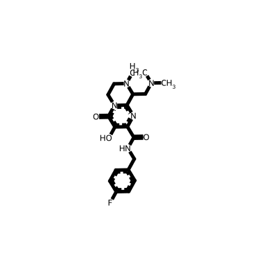 CN(C)CC1c2nc(C(=O)NCc3ccc(F)cc3)c(O)c(=O)n2CCN1C